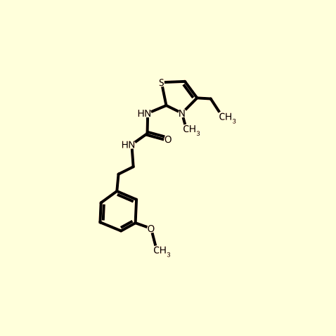 CCC1=CSC(NC(=O)NCCc2cccc(OC)c2)N1C